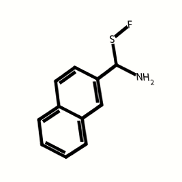 NC(SF)c1ccc2ccccc2c1